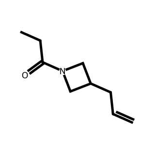 C=CCC1CN(C(=O)CC)C1